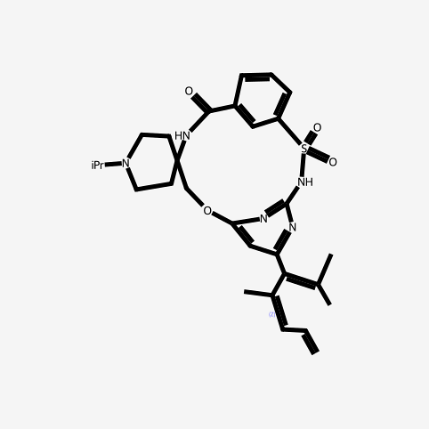 C=C/C=C(/C)C(=C(C)C)c1cc2nc(n1)NS(=O)(=O)c1cccc(c1)C(=O)NC1(CCN(C(C)C)CC1)CO2